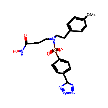 COc1ccc(CCN(CCC(=O)NO)S(=O)(=O)c2ccc(C3N=NN=N3)cc2)cc1